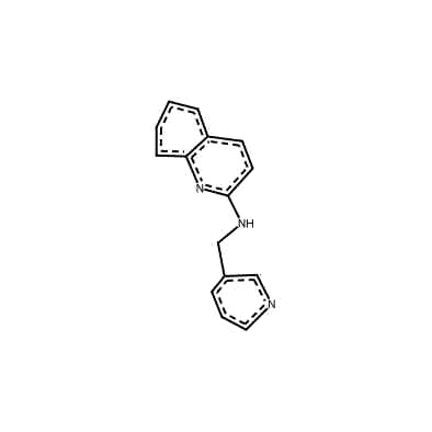 [c]1ncccc1CNc1ccc2ccccc2n1